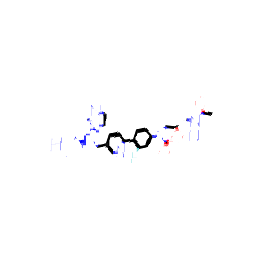 CC(=O)NC[C@H]1CN(c2ccc(-c3ccc(CN(N)N4C=NCC4)cn3)c(F)c2)C(=O)O1